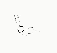 COc1ccc(B2OC(C)(C)C(C)(C)O2)cc1N1CCN(C(C)(C)C)CC1